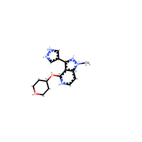 Cn1nc(-c2cn[nH]c2)c2c(OC3CCOCC3)nccc21